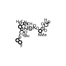 CNc1cc(OCC(=O)N2CCN(CCn3c(C(=O)OC(C)(C)C)c(CCCOc4cccc5cc(F)ccc45)c4ccc(Cl)c(-c5c(C)nn(C)c5C)c43)CC2)c2c(c1)C(=O)N(C1CCC(=O)NC1=O)C2